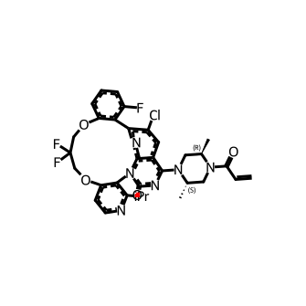 C=CC(=O)N1C[C@H](C)N(c2nc(=O)n3c4nc(c(Cl)cc24)-c2c(F)cccc2OCC(F)(F)COc2ccnc(C(C)C)c2-3)C[C@H]1C